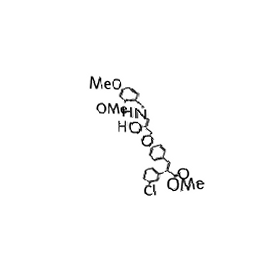 COC(=O)C(=Cc1ccc(OCC(O)CNCc2ccc(OC)cc2OC)cc1)c1cccc(Cl)c1